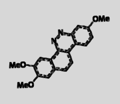 COc1ccc2c(c1)nnc1c3cc(OC)c(OC)cc3ccc21